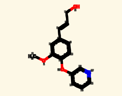 COc1cc(/C=C/CO)ccc1Oc1cccnc1